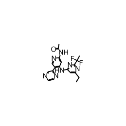 CCc1cc(Nc2cc(NC(C)=O)ncc2-c2cnccn2)nc(C(C)(F)F)n1